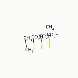 C.CC.O=C(O)F.O=C(O)F.O=C(O)F